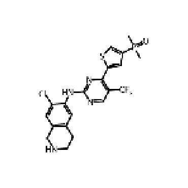 CP(C)(=O)c1csc(-c2nc(Nc3cc4c(cc3Cl)CNCC4)ncc2C(F)(F)F)c1